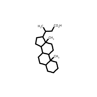 CC(CC(=O)O)C1CCC2C3CCC4CCCCC4(C)C3CCC12C